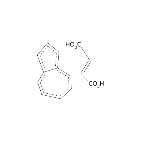 O=C(O)C=CC(=O)O.c1ccc2cccc-2cc1